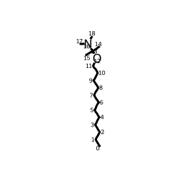 CCCCCCCCCCCCOC(C)(C)N(C)C